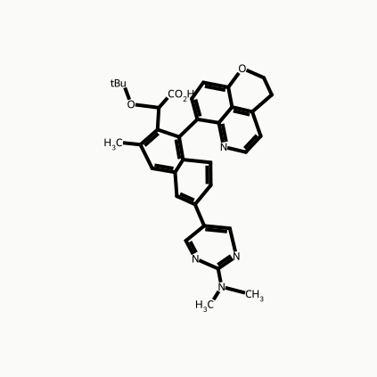 Cc1cc2cc(-c3cnc(N(C)C)nc3)ccc2c(-c2ccc3c4c(ccnc24)CCO3)c1C(OC(C)(C)C)C(=O)O